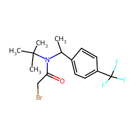 CC(c1ccc(C(F)(F)F)cc1)N(C(=O)CBr)C(C)(C)C